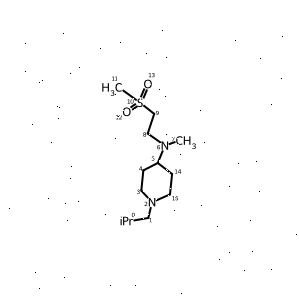 CC(C)CN1CCC(N(C)CCS(C)(=O)=O)CC1